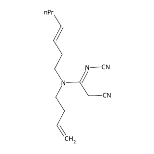 C=CCCN(CCC=CCCC)C(CC#N)=NC#N